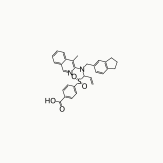 C=CC(N(Cc1ccc2c(c1)CCC2)c1ncc2ccccc2c1C)S(=O)(=O)c1ccc(C(=O)O)cc1